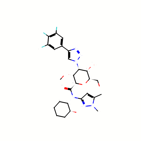 CO[C@@H]1[C@@H](n2cc(-c3cc(F)c(F)c(F)c3)nn2)[C@@H](O)[C@@H](CO)O[C@H]1C(=O)N(c1cc(C)n(C)n1)[C@H]1CCCC[C@@H]1O